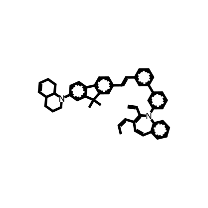 C=CC1=C(/C=C\C)C=Cc2ccccc2N1c1cccc(-c2cccc(/C=C/c3ccc4c(c3)C(C)(C)c3cc(N5CCCC6C=CCCC65)ccc3-4)c2)c1